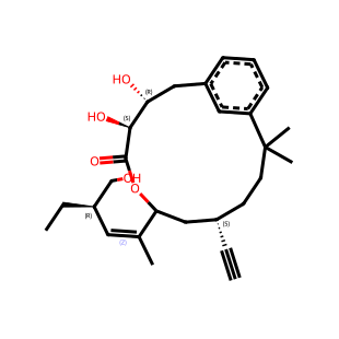 C#C[C@H]1CCC(C)(C)c2cccc(c2)C[C@@H](O)[C@H](O)C(=O)OC(/C(C)=C\[C@@H](CC)CO)C1